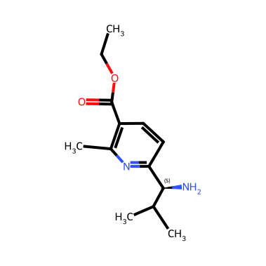 CCOC(=O)c1ccc([C@@H](N)C(C)C)nc1C